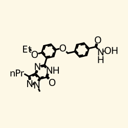 CCCc1nn(C)c2c(=O)[nH]c(-c3cc(OCc4ccc(C(=O)NO)cc4)ccc3OCC)nc12